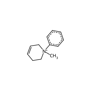 C[N+]1(c2ccccc2)CC=CCC1